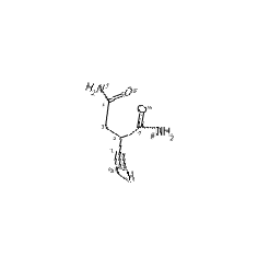 C#CC(CC(N)=O)C(N)=O